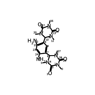 CN1C(=O)N(C)C(c2cc(C3N(C)C(=O)N(C)C(=O)N3C)c(N)cc2N)N(C)C1=O